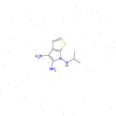 CC(C)Nn1c(N)c(N)c2ccsc21